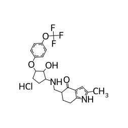 Cc1cc2c([nH]1)CCC(CNC1CCC(Oc3ccc(OC(F)(F)F)cc3)C1O)C2=O.Cl